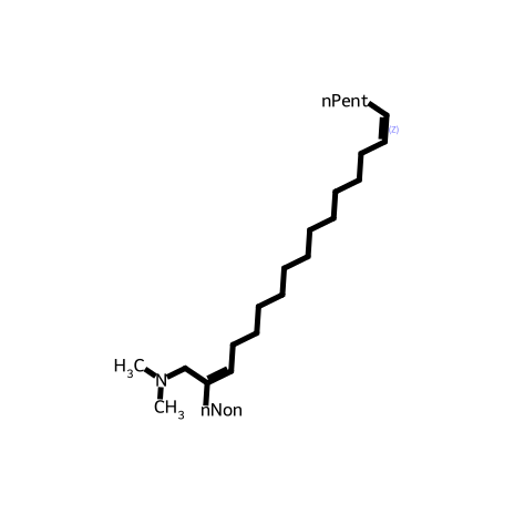 CCCCC/C=C\CCCCCCCCCCCC=C(CCCCCCCCC)CN(C)C